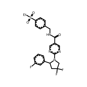 CCS(=O)(=O)c1ccc(CNC(=O)c2cnc(N3CC(F)(F)CC3c3cccc(F)c3)nc2)cc1